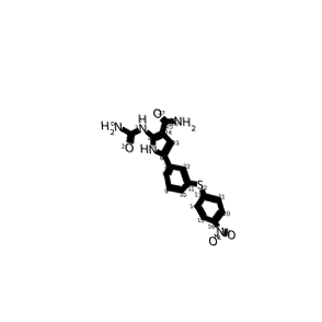 NC(=O)Nc1[nH]c(-c2cccc(Sc3ccc([N+](=O)[O-])cc3)c2)cc1C(N)=O